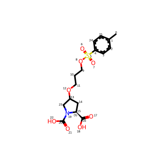 Cc1ccc(S(=O)(=O)OCCCOC2C[C@@H](C(=O)O)N(C(=O)O)C2)cc1